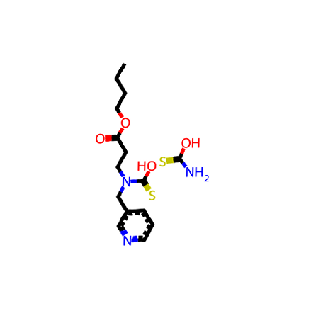 CCCCOC(=O)CCN(Cc1cccnc1)C(O)=S.NC(O)=S